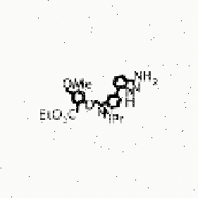 CCOC(=O)Cc1cc(COC)ccc1OCc1nn(C(C)C)c2ccc(-c3cccc4c(N)n[nH]c34)cc12